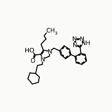 CCCCC1=C(C(=O)O)N(CCC2CCCCC2)CN1Cc1ccc(-c2ccccc2-c2nnn[nH]2)cc1